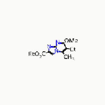 CCOC(=O)c1cn2c(C)c(CC)c(OC)nc2n1